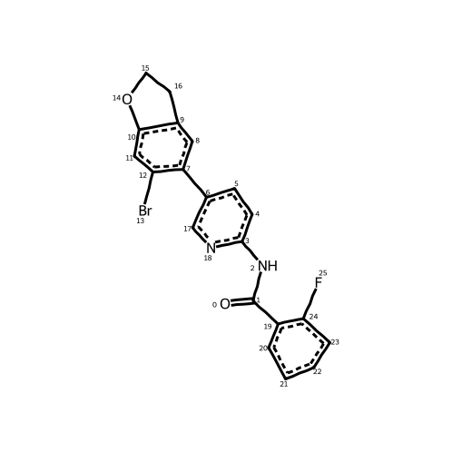 O=C(Nc1ccc(-c2cc3c(cc2Br)OCC3)cn1)c1ccccc1F